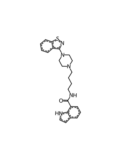 O=C(NCCCCN1CCN(c2nsc3ccccc23)CC1)c1cccc2cc[nH]c12